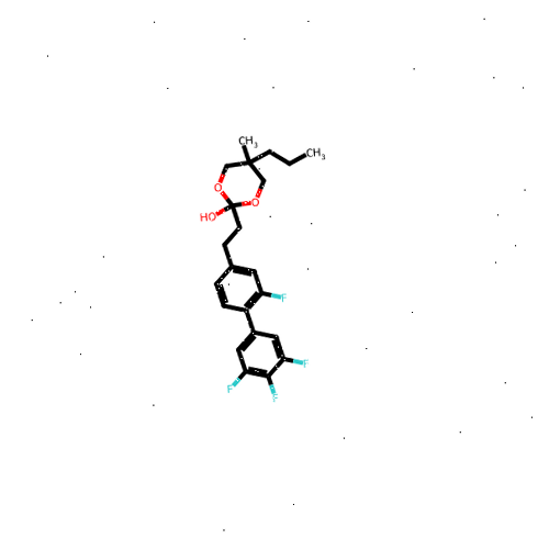 CCCC1(C)COC(O)(CCc2ccc(-c3cc(F)c(F)c(F)c3)c(F)c2)OC1